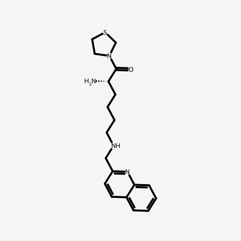 N[C@@H](CCCCNCc1ccc2ccccc2n1)C(=O)N1CCSC1